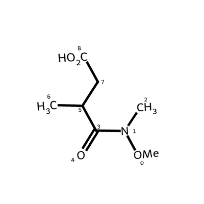 CON(C)C(=O)C(C)CC(=O)O